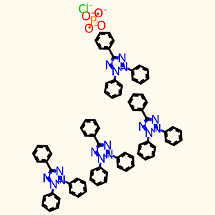 O=P([O-])([O-])[O-].[Cl-].c1ccc(-c2nn(-c3ccccc3)[n+](-c3ccccc3)n2)cc1.c1ccc(-c2nn(-c3ccccc3)[n+](-c3ccccc3)n2)cc1.c1ccc(-c2nn(-c3ccccc3)[n+](-c3ccccc3)n2)cc1.c1ccc(-c2nn(-c3ccccc3)[n+](-c3ccccc3)n2)cc1